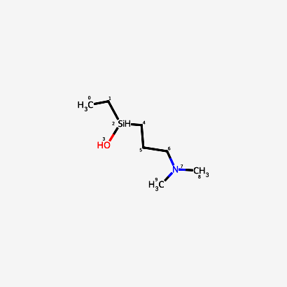 CC[SiH](O)CCCN(C)C